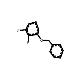 Fc1c(Br)cccc1OCc1ccccc1